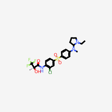 CCN1CCCC1N(C)c1ccc(S(=O)(=O)c2ccc(NC(=O)[C@@](C)(O)C(F)(F)F)c(Cl)c2)cc1